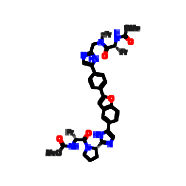 CCCN(Cc1ncc(-c2ccc(-c3cc4cc(-c5cnc([C@@H]6CCCN6C(=O)[C@H](NC(=O)OC)C(C)C)[nH]5)ccc4o3)cc2)[nH]1)C(=O)[C@H](NC(=O)OC)C(C)C